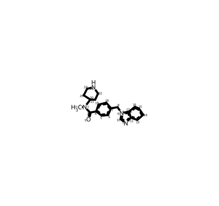 CN(C(=O)c1ccc(Cn2cnc3ccccc32)cc1)C1CCNCC1